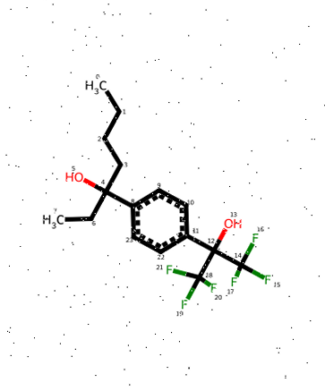 CCCCC(O)(CC)c1ccc(C(O)(C(F)(F)F)C(F)(F)F)cc1